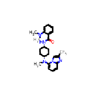 CN(C)c1ccccc1C(=O)N[C@H]1CC[C@@H](N(C)c2cccc3nc(C(F)(F)F)cn23)CC1